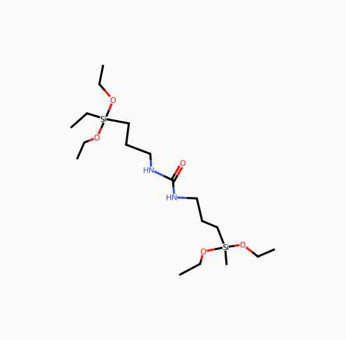 CCO[Si](C)(CCCNC(=O)NCCC[Si](CC)(OCC)OCC)OCC